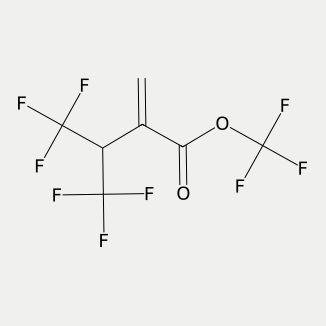 C=C(C(=O)OC(F)(F)F)C(C(F)(F)F)C(F)(F)F